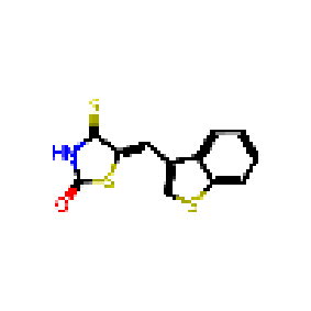 O=C1NC(=S)/C(=C/c2csc3ccccc23)S1